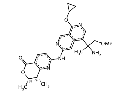 COCC(C)(N)c1cnc(OC2CC2)c2cnc(Nc3ccc4c(n3)[C@H](C)[C@H](C)OC4=O)cc12